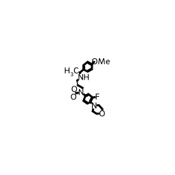 COc1ccc([C@H](C)NC[C@H]2CN(c3ccc(N4CCOCC4)c(F)c3)C(=O)O2)cc1